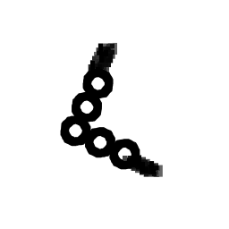 C1CCCCCCCCC1.C1CCCCCCCCC1.C1CCCCCCCCC1.C1CCCCCCCCC1.C1CCCCCCCCC1.Cl.Cl.Cl.Cl.Cl.Cl.Cl.Cl.Cl.Cl.Cl.Cl